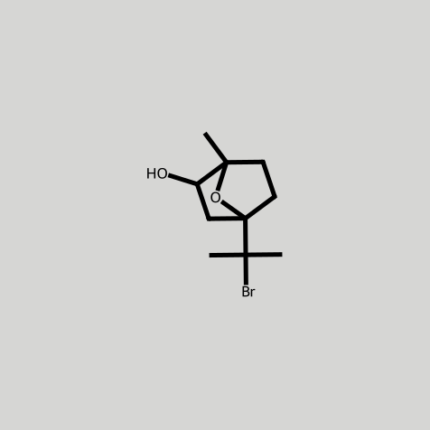 CC12CCC(C(C)(C)Br)(CC1O)O2